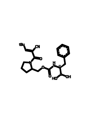 CC(C)(C)C=C(C#N)C(=O)N1CCCC1COC(=O)N[C@@H](Cc1ccccc1)B(O)O